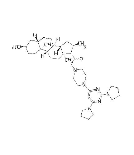 C[C@@H]1C[C@H]2[C@@H]3CC[C@H]4C[C@H](O)CC[C@]4(C)[C@H]3CC[C@]2(C)[C@H]1C(=O)CN1CCN(c2cc(N3CCCC3)nc(N3CCCC3)n2)CC1